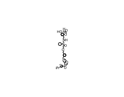 CC(C)c1cc(C(=O)N2CCOC3(CCN(Cc4cccc(CCOCCC(=O)N(CCNCCc5ccc(O)c6c5OCC(=O)N6)C5CCCCC5)c4)CC3)C2)cs1